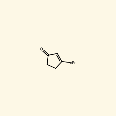 CCCC1=CC(=O)CC1